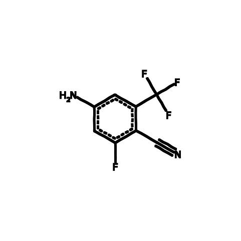 N#Cc1c(F)cc(N)cc1C(F)(F)F